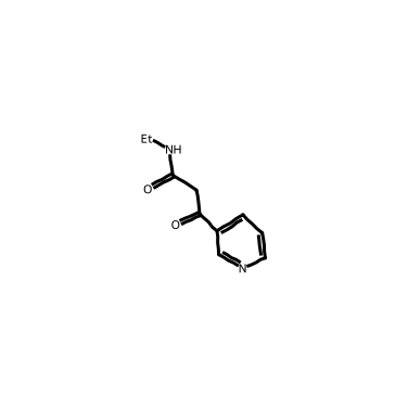 CCNC(=O)CC(=O)c1cccnc1